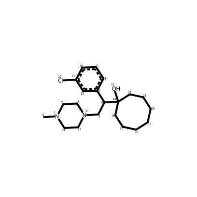 CN1CCN(CC(c2cccc(Cl)c2)C2(O)CCCCCCC2)CC1